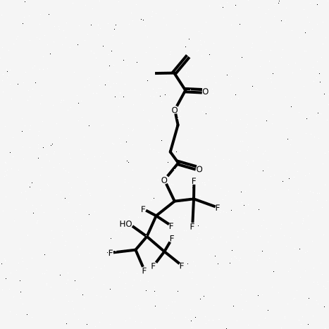 C=C(C)C(=O)OCCC(=O)OC(C(F)(F)F)C(F)(F)C(O)(C(F)F)C(F)(F)F